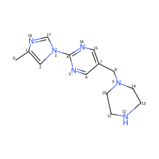 Cc1cn(-c2ncc(CN3CCNCC3)cn2)cn1